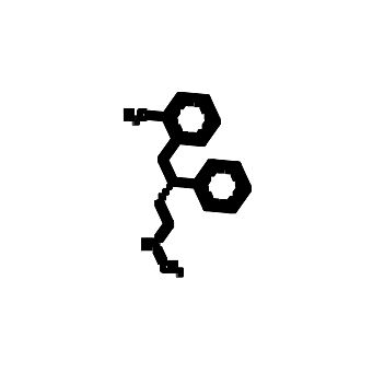 CNCC[C@H](Cc1ccccc1C)c1ccccc1